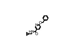 O=C(NCC1CC1)c1ccc(OCc2ccccc2)nc1